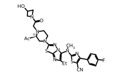 CCc1nc2sc(N3CCN(CC(=O)N4CC(O)C4)[C@H](C(C)=O)C3)nn2c1N(C)c1nc(-c2ccc(F)cc2)c(C#N)s1